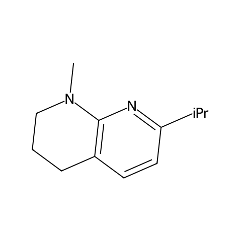 CC(C)c1ccc2c(n1)N(C)CCC2